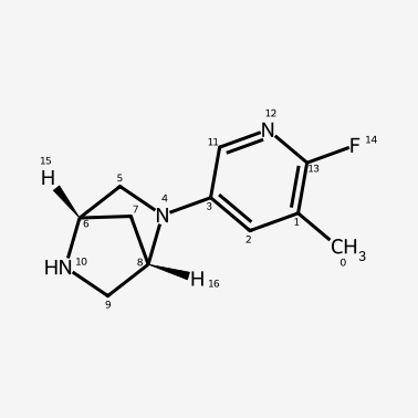 Cc1cc(N2C[C@@H]3C[C@H]2CN3)cnc1F